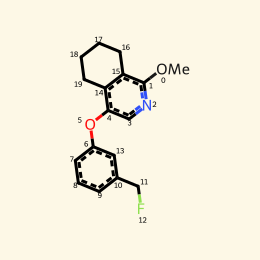 COc1ncc(Oc2cccc(CF)c2)c2c1CCCC2